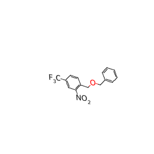 O=[N+]([O-])c1cc(C(F)(F)F)ccc1COCc1ccccc1